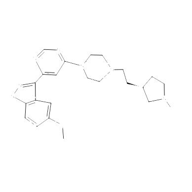 CC(C)Oc1ccc2[nH]nc(-c3cc(N4CCN(CC[C@H]5CCN(C(=O)O)C5)CC4)ncn3)c2c1